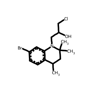 CC1CC(C)(C)N(CC(O)CCl)c2cc(Br)ccc21